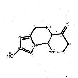 O=C1CCNC2C1NCc1cc(O)cn12